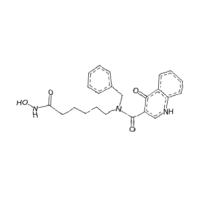 O=C(CCCCCN(Cc1ccccc1)C(=O)c1c[nH]c2ccccc2c1=O)NO